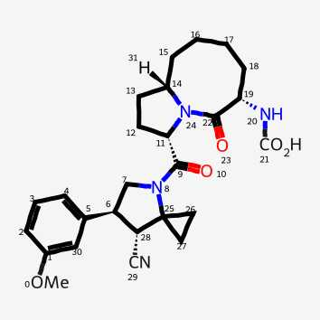 COc1cccc([C@H]2CN(C(=O)[C@@H]3CC[C@@H]4CCCC[C@H](NC(=O)O)C(=O)N43)C3(CC3)[C@@H]2C#N)c1